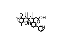 Cc1cn(C)c(=O)c(NC(=O)NC(CC(=O)O)c2cccc(-c3cccnc3)c2)c1O